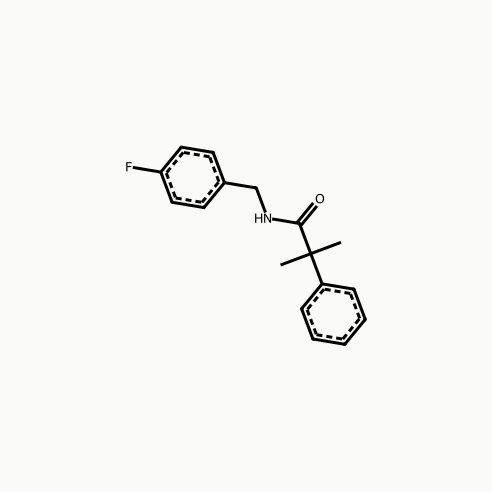 CC(C)(C(=O)NCc1ccc(F)cc1)c1ccccc1